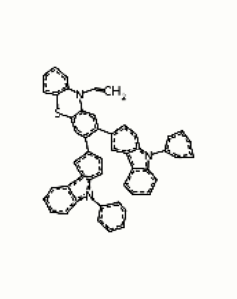 C=CN1c2ccccc2Sc2cc(-c3ccc4c(c3)c3ccccc3n4-c3ccccc3)c(-c3ccc4c(c3)c3ccccc3n4-c3ccccc3)cc21